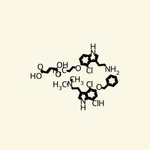 CCCOc1ccc2[nH]cc(CCN)c2c1Cl.CN(C)CCc1c[nH]c2ccc(OCc3ccccc3)c(Cl)c12.Cl.O=C(O)C=CC(=O)O